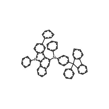 c1ccc(-c2ccc3c(c2)c2c(N(c4ccccc4)c4ccc(C5(c6ccccc6)c6ccccc6-c6ccccc65)cc4)cc4ccccc4c2n3-c2ccccc2)cc1